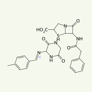 Cc1ccc(/C=N/C2NC(=O)CN([SH]3C(C(=O)O)CN4C(=O)C(NC(=O)Cc5ccccc5)C43)C2=O)cc1